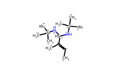 CC=C(C)[SiH](N[Si](C)(C)C(C)(C)C)N[Si](C)(C)C(C)(C)C